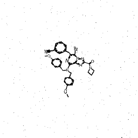 COc1ccc(CN(Cc2ccc(OC)cc2)c2nc(-c3cccc(C#N)c3)c(Br)n3nc(C(=O)N4CCC4)nc23)cc1